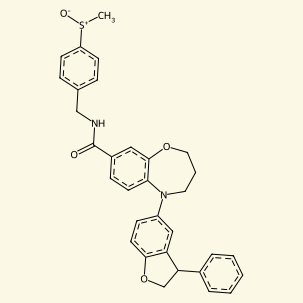 C[S+]([O-])c1ccc(CNC(=O)c2ccc3c(c2)OCCCN3c2ccc3c(c2)C(c2ccccc2)CO3)cc1